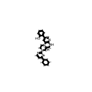 Oc1ccccc1-c1cc2c(nn1)NC[C@H]1CN(c3nccc(C4CCCCC4)n3)CCN21